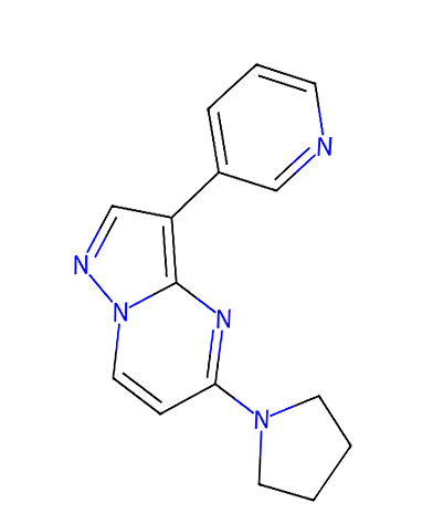 c1cncc(-c2cnn3ccc(N4CCCC4)nc23)c1